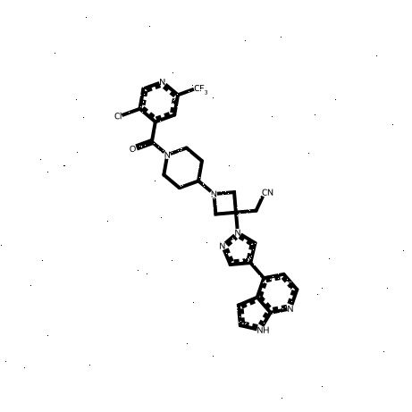 N#CCC1(n2cc(-c3ccnc4[nH]ccc34)cn2)CN(C2CCN(C(=O)c3cc(C(F)(F)F)ncc3Cl)CC2)C1